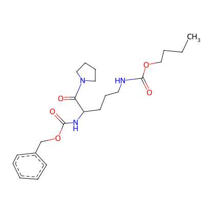 CCCCOC(=O)NCCCC(NC(=O)OCc1ccccc1)C(=O)N1CCCC1